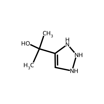 CC(C)(O)C1=CNNN1